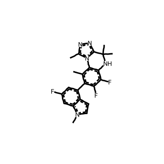 Cc1c(-c2cc(F)cc3c2ccn3C)c(F)c(F)c2c1-n1c(C)nnc1C(C)(C)N2